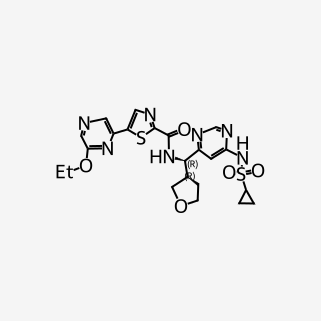 CCOc1cncc(-c2cnc(C(=O)N[C@@H](c3cc(NS(=O)(=O)C4CC4)ncn3)[C@H]3CCOC3)s2)n1